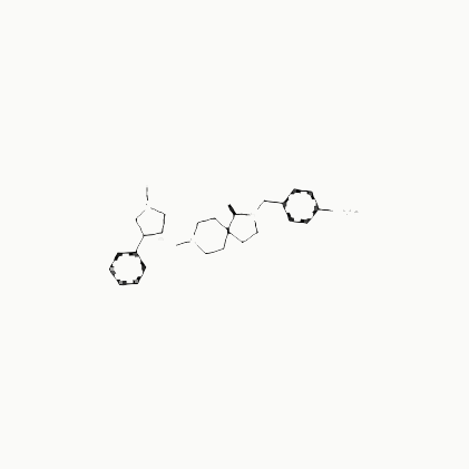 COc1ccc(CN2CCC3(CCN(C[C@H]4CN(C(C)C)CC4c4ccccc4)CC3)C2=O)cc1